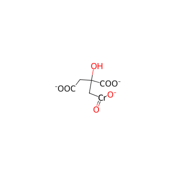 O=C([O-])CC(O)([CH2][Cr](=[O])[O-])C(=O)[O-]